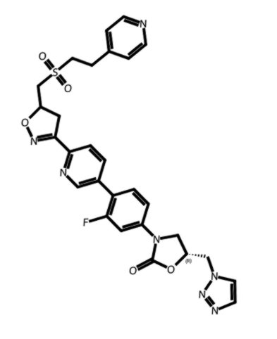 O=C1O[C@@H](Cn2ccnn2)CN1c1ccc(-c2ccc(C3=NOC(CS(=O)(=O)CCc4ccncc4)C3)nc2)c(F)c1